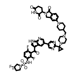 O=C1CCC(N2Cc3cc(N4CCC(CN5CCN(C6(c7ncc(-c8cnc9[nH]cc(C(=O)c%10c(F)ccc(NS(=O)(=O)N%11CC[C@@H](F)C%11)c%10F)c9c8)cn7)CC6)CC5)CC4)ccc3C2=O)C(=O)N1